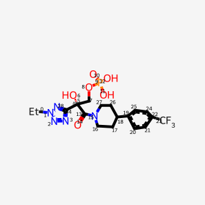 CCn1nnc([C@@](O)(COP(=O)(O)O)C(=O)N2CCC(c3ccc(C(F)(F)F)cc3)CC2)n1